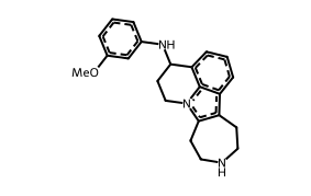 COc1cccc(NC2CCn3c4c(c5cccc2c53)CCNCC4)c1